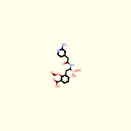 Nc1cc(CC(=O)NC(Cc2cccc(C(=O)O)c2OC=O)B(O)O)ccn1